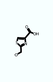 [O]Cc1nc(C(=O)O)cs1